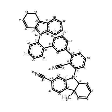 CC12C=CC=CC1N(c1cccc(-c3cccc(-c4ccccc4-n4c5c(c6ccccc64)CCC=C5)c3)c1C#N)c1cc(C#N)ccc12